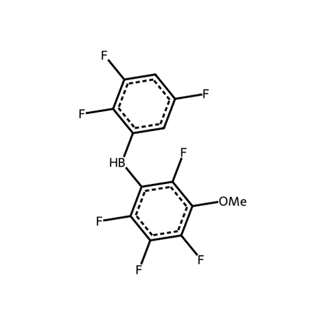 COc1c(F)c(F)c(F)c(Bc2cc(F)cc(F)c2F)c1F